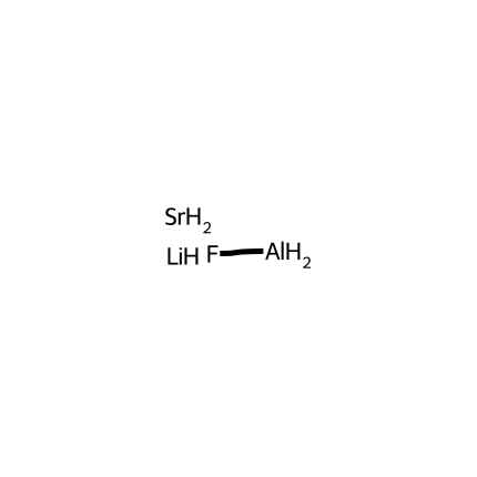 [F][AlH2].[LiH].[SrH2]